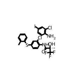 Cc1ccccc1Sc1ccc(NC(=O)[C@@](C)(O)C(F)(F)F)c(Cl)c1.Nc1ccc(I)cc1Cl